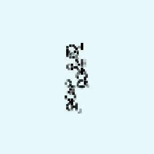 CN1CCN(C(=O)c2csc3cnc(C(=O)N[C@@H]4C[C@H]5CCN(C5)C4)cc23)CC1